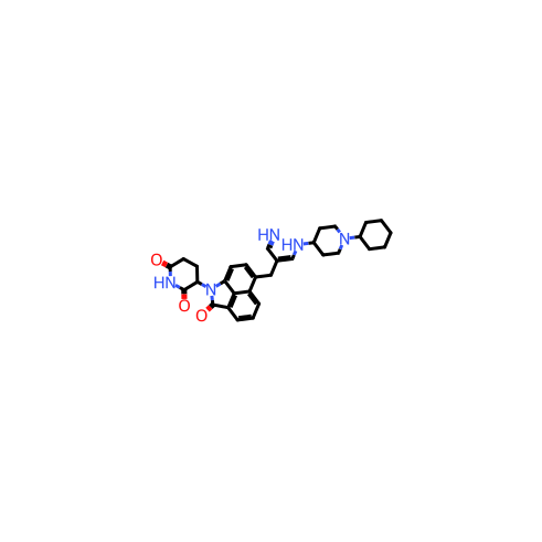 N=C/C(=C\NC1CCN(C2CCCCC2)CC1)Cc1ccc2c3c(cccc13)C(=O)N2C1CCC(=O)NC1=O